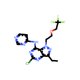 CCc1nn(CCOCC(F)(F)F)c2c(Nc3ccncn3)nc(Cl)nc12